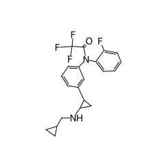 O=C(N(c1cccc(C2CC2NCC2CC2)c1)c1ccccc1F)C(F)(F)F